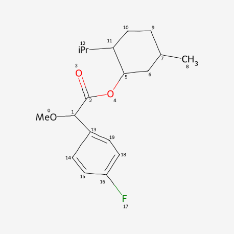 COC(C(=O)OC1CC(C)CCC1C(C)C)c1ccc(F)cc1